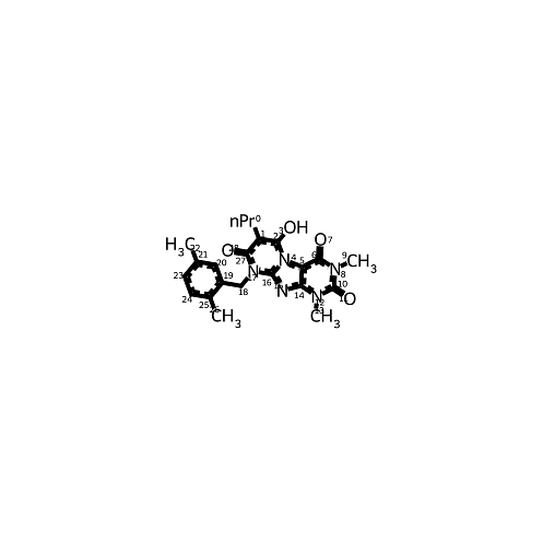 CCCc1c(O)n2c3c(=O)n(C)c(=O)n(C)c3nc2n(Cc2cc(C)ccc2C)c1=O